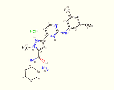 COc1cc(Nc2nccc(-c3cc(C(=O)N[C@H]4CCCC[C@H]4N)n(C)n3)n2)cc(C(F)(F)F)c1.Cl